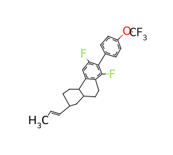 CC=CC1CCC2c3cc(F)c(-c4ccc(OC(F)(F)F)cc4)c(F)c3CCC2C1